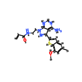 C=CC(=O)NCCn1nc(-c2cc3cc(C)cc(OC)c3s2)c2c(N)ncnc21